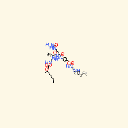 C#CCCCCCC(C)OCC(=O)ONCCN[C@H](C(=O)N[C@@H](CCCNC(N)=O)C(=O)Nc1ccc(COC(=O)NCCNC(=O)OCC)cc1)C(C)C